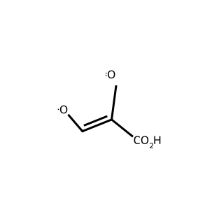 CC(=C[O])C(=O)O.[O]